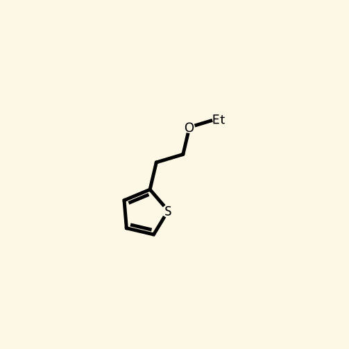 CCOCCc1cccs1